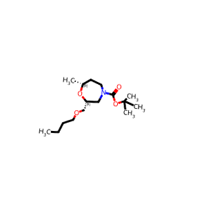 CCCCOC[C@H]1CN(C(=O)OC(C)(C)C)CC[C@@H](C)O1